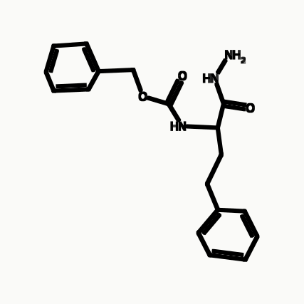 NNC(=O)C(CCc1ccccc1)NC(=O)OCc1ccccc1